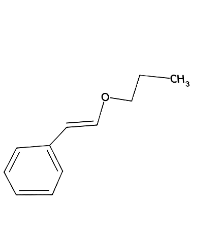 CCCOC=Cc1ccccc1